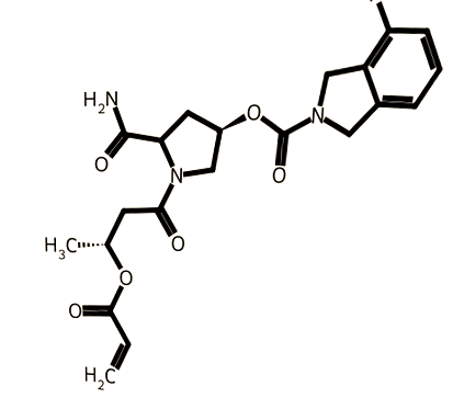 C=CC(=O)O[C@H](C)CC(=O)N1C[C@H](OC(=O)N2Cc3cccc(F)c3C2)CC1C(N)=O